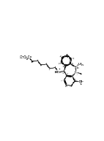 CCOC(=O)CCCCCCNC1C2=C(C(O)CC=C2)N(C)[S+]([O-])c2ccccc21